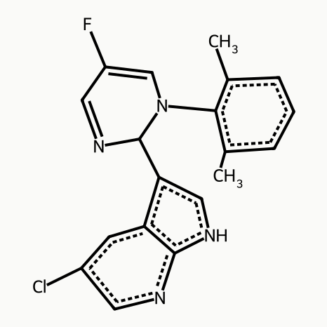 Cc1cccc(C)c1N1C=C(F)C=NC1c1c[nH]c2ncc(Cl)cc12